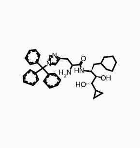 NC(Cc1cn(C(c2ccccc2)(c2ccccc2)c2ccccc2)cn1)C(=O)N[C@@H](CC1CCCCC1)[C@@H](O)[C@@H](O)C1CC1